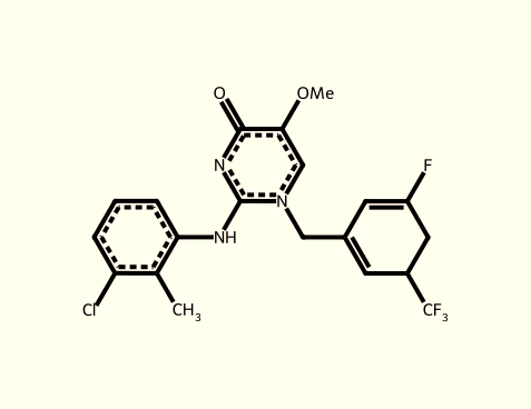 COc1cn(CC2=CC(C(F)(F)F)CC(F)=C2)c(Nc2cccc(Cl)c2C)nc1=O